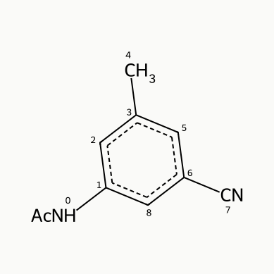 CC(=O)Nc1cc(C)cc(C#N)c1